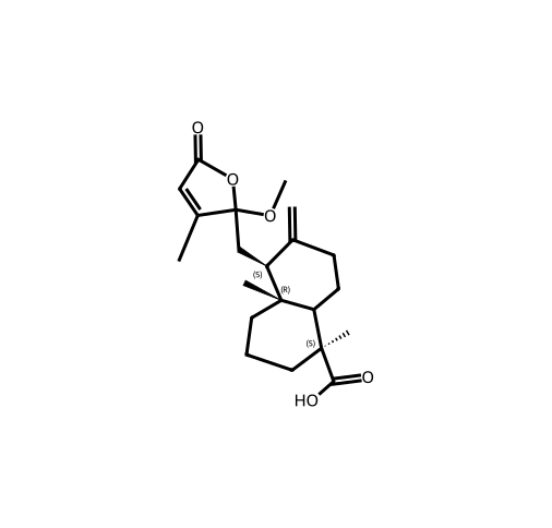 C=C1CCC2[C@](C)(CCC[C@]2(C)C(=O)O)[C@H]1CC1(OC)OC(=O)C=C1C